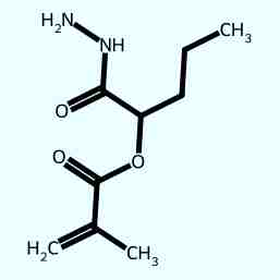 C=C(C)C(=O)OC(CCC)C(=O)NN